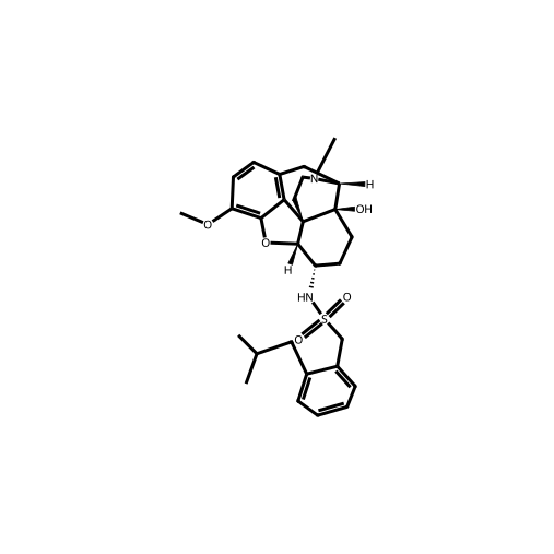 COc1ccc2c3c1O[C@H]1[C@@H](NS(=O)(=O)Cc4ccccc4CC(C)C)CC[C@@]4(O)[C@@H](C2)N(C)CC[C@]314